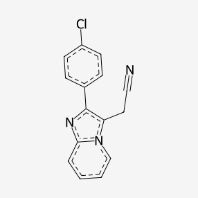 N#CCc1c(-c2ccc(Cl)cc2)nc2ccccn12